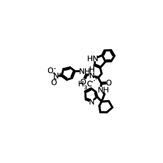 C[C@@](Cc1c[nH]c2ccccc12)(NC(=O)Nc1ccc([N+](=O)[O-])cc1)C(=O)NCC1(c2ccccn2)CCCCC1